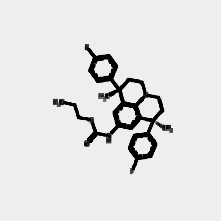 CCCSC(=O)Nc1cc2c3c(c1)[C@](C)(c1ccc(F)cc1)CCN3CC[C@@]2(C)c1ccc(F)cc1